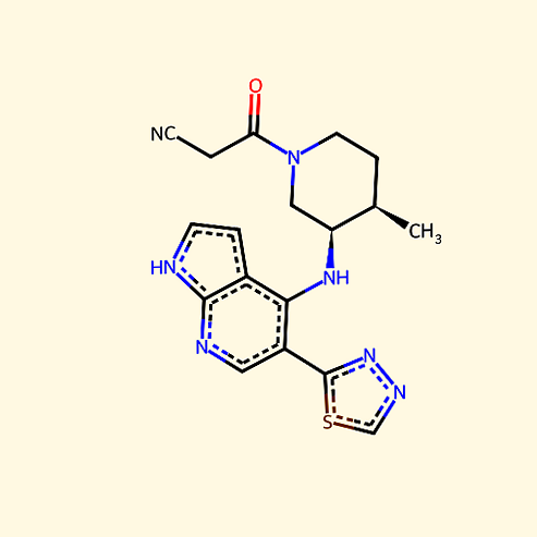 C[C@@H]1CCN(C(=O)CC#N)C[C@@H]1Nc1c(-c2nncs2)cnc2[nH]ccc12